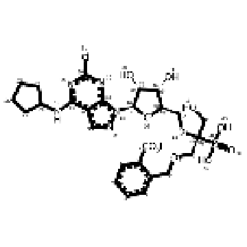 O=C(O)c1ccccc1COC[C@](CO)(OC[C@H]1O[C@@H](n2ncc3c(NC4CCCC4)nc(Cl)nc32)[C@H](O)[C@@H]1O)P(=O)(O)O